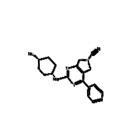 N#CN1Cc2nc(N[C@H]3CC[C@H](O)CC3)nc(-c3ccccc3)c2C1